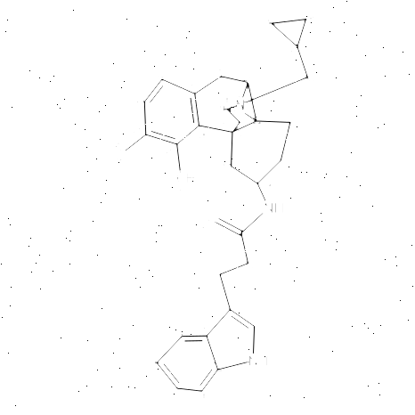 C=C(CCc1c[nH]c2ccccc12)NC1CCC2(O)C3Cc4ccc(C)c(C)c4C2(CCN3CC2CC2)C1